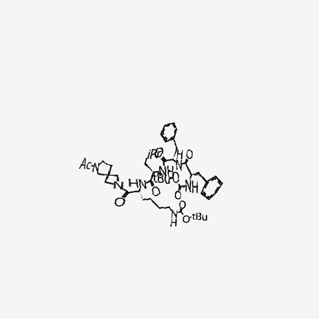 CC(=O)N1CCC2(C1)CN(C(=O)[C@@H](CCCCNC(=O)OC(C)(C)C)NC(=O)[C@@H](CC(C)C)NC(=O)[C@@H](Cc1ccccc1)NC(=O)[C@@H](Cc1ccccc1)NC(=O)OC(C)(C)C)C2